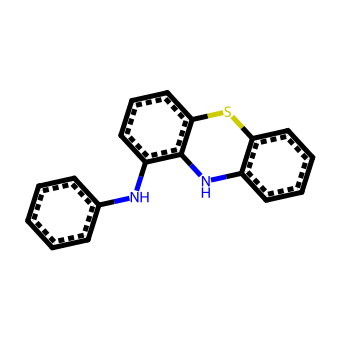 c1ccc(Nc2cccc3c2Nc2ccccc2S3)cc1